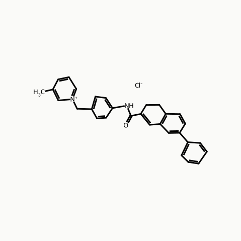 Cc1ccc[n+](Cc2ccc(NC(=O)C3=Cc4cc(-c5ccccc5)ccc4CC3)cc2)c1.[Cl-]